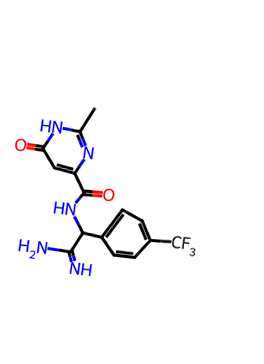 Cc1nc(C(=O)NC(C(=N)N)c2ccc(C(F)(F)F)cc2)cc(=O)[nH]1